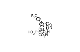 Cc1cc(-c2ccc(C(F)(F)F)cc2)nc([C@H]2CC[C@@]3(CCN(C)C3=O)N2)n1.O=C(O)CC(O)(CC(=O)O)C(=O)O